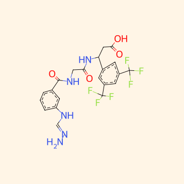 NN=CNc1cccc(C(=O)NCC(=O)NC(CC(=O)O)c2cc(C(F)(F)F)cc(C(F)(F)F)c2)c1